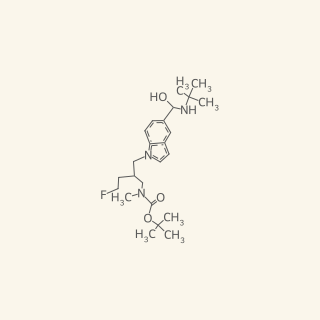 CN(CC(CCF)Cn1ccc2cc(C(O)NC(C)(C)C)ccc21)C(=O)OC(C)(C)C